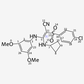 COc1cc(N/C(NC2CCC2)=C(\C#N)S(=O)(=O)c2ccc(Cl)cc2)cc(OC)c1